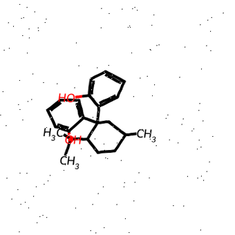 CC1CCC(C(C)C)C(c2ccccc2O)(c2ccccc2O)C1